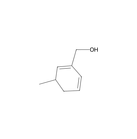 CC1C=C(CO)C=CC1